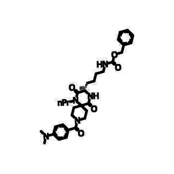 CCCN1C(=O)[C@H](CCCCNC(=O)OCc2ccccc2)NC(=O)C12CCN(C(=O)c1ccc(N(C)C)cc1)CC2